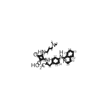 CN(C)CCCNc1c(NC(Cc2ccc(Nc3nccc4ccccc34)cc2)C(=O)O)c(=O)c1=O